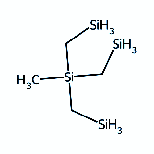 C[Si](C[SiH3])(C[SiH3])C[SiH3]